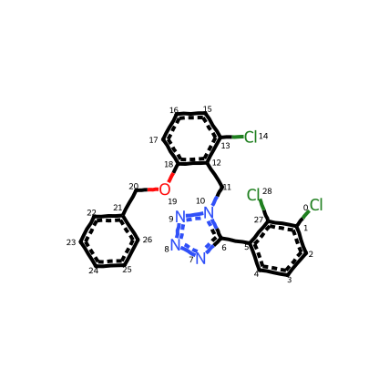 Clc1cccc(-c2nnnn2Cc2c(Cl)cccc2OCc2ccccc2)c1Cl